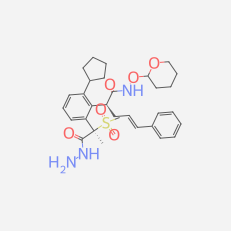 C[C@](C(=O)NN)(c1cccc(C2CCCC2)c1[C@H](C/C=C/c1ccccc1)C(=O)NOC1CCCCO1)S(C)(=O)=O